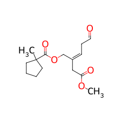 COC(=O)C/C(=C/CC=O)COC(=O)C1(C)CCCC1